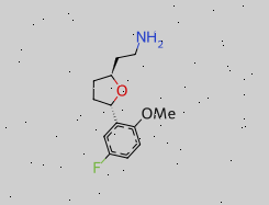 COc1ccc(F)cc1[C@@H]1CC[C@@H](CCN)O1